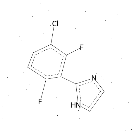 Fc1ccc(Cl)c(F)c1-c1ncc[nH]1